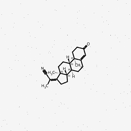 CC(C#N)=C1CC[C@H]2[C@@H]3CCC4=CC(=O)CC[C@]4(C)[C@H]3CC[C@]12C